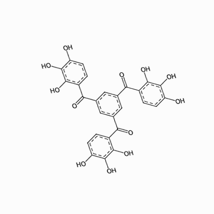 O=C(c1cc(C(=O)c2ccc(O)c(O)c2O)cc(C(=O)c2ccc(O)c(O)c2O)c1)c1ccc(O)c(O)c1O